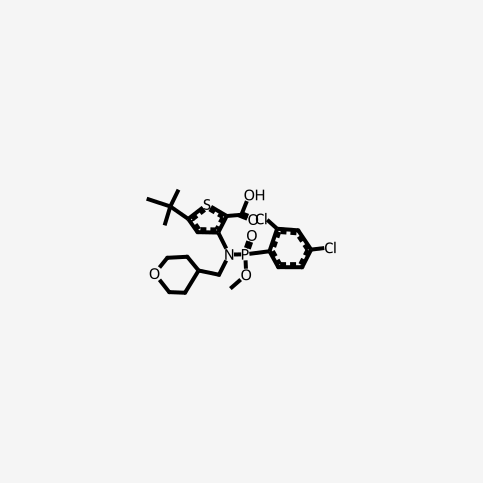 COP(=O)(c1ccc(Cl)cc1Cl)N(CC1CCOCC1)c1cc(C(C)(C)C)sc1C(=O)O